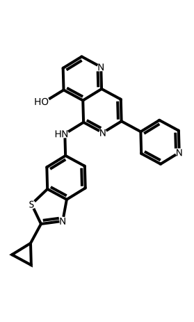 Oc1ccnc2cc(-c3ccncc3)nc(Nc3ccc4nc(C5CC5)sc4c3)c12